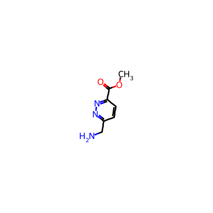 COC(=O)c1ccc(CN)nn1